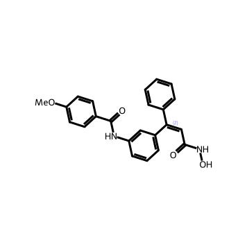 COc1ccc(C(=O)Nc2cccc(/C(=C\C(=O)NO)c3ccccc3)c2)cc1